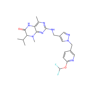 Cc1nc(NCc2cnn(Cc3ccc(OC(F)F)nc3)c2)nc2c1NC(=O)C(C(C)C)N2C